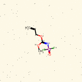 C=CCOC(=NP(=O)(F)F)OC